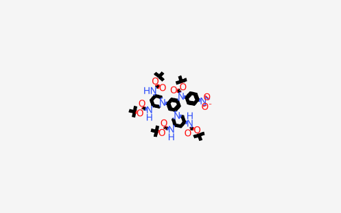 CC(C)(C)OC(=O)NC1CC(NC(=O)OC(C)(C)C)CN(c2cc(N3CC(NC(=O)OC(C)(C)C)CC(NC(=O)OC(C)(C)C)C3)cc(N(C(=O)OC(C)(C)C)c3ccc([N+](=O)[O-])cc3)c2)C1